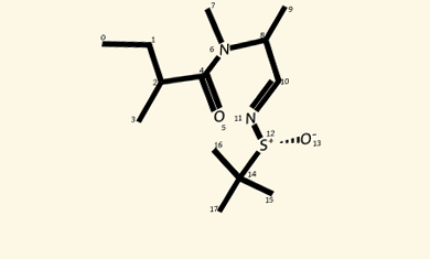 CCC(C)C(=O)N(C)C(C)/C=N/[S@+]([O-])C(C)(C)C